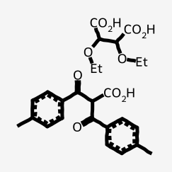 CCOC(C(=O)O)C(OCC)C(=O)O.Cc1ccc(C(=O)C(C(=O)O)C(=O)c2ccc(C)cc2)cc1